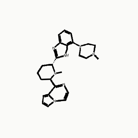 CN1CCN(c2cccc3nc([C@H]4CCCC(c5nccn6cccc56)N4C)[nH]c23)CC1